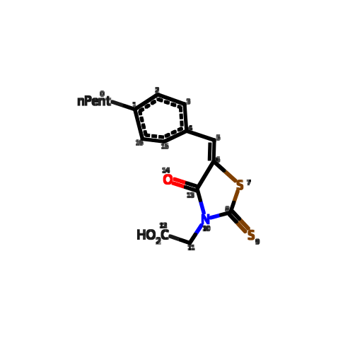 CCCCCc1ccc(C=C2SC(=S)N(CC(=O)O)C2=O)cc1